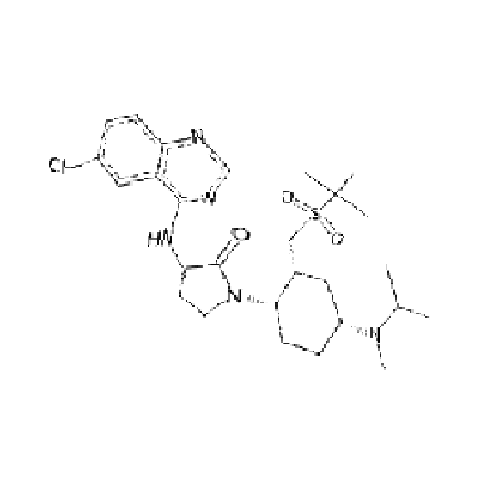 CC(C)N(C)[C@@H]1CC[C@H](N2CCC(Nc3ncnc4ccc(Cl)cc34)C2=O)[C@H](CS(=O)(=O)C(C)(C)C)C1